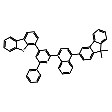 CC1(C)c2ccccc2-c2cc(-c3ccc(-c4cc(-c5cccc6c5oc5ccccc56)nc(-c5ccccc5)n4)c4ccccc34)ccc21